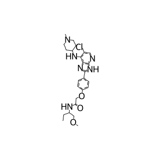 CCC(COC)NC(=O)COc1ccc(-c2nc3c(NC4CCN(C)CC4)c(Cl)cnc3[nH]2)cc1